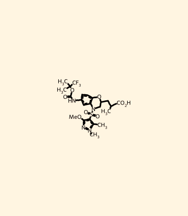 COc1nn(C)c(C)c1S(=O)(=O)N1CC(CC(C)C(=O)O)Oc2ccc(NC(=O)OC(C)(C)C(F)(F)F)cc21